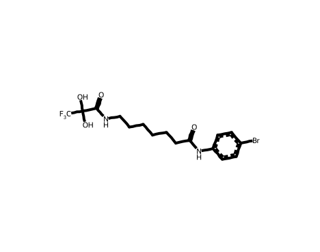 O=C(CCCCCCNC(=O)C(O)(O)C(F)(F)F)Nc1ccc(Br)cc1